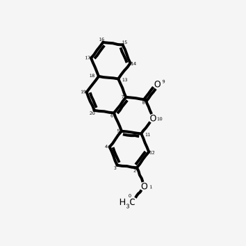 COc1ccc2c3c(c(=O)oc2c1)C1C=CC=CC1C=C3